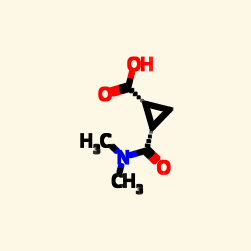 CN(C)C(=O)[C@H]1C[C@H]1C(=O)O